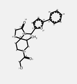 CC1CN(C(=O)CCl)CCC12SCC(=O)N2Cc1ccc(-c2ccccc2)o1